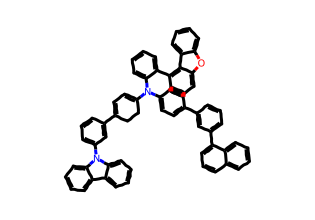 c1cc2oc3ccccc3c2c(-c2ccccc2N(C2=CC=C(c3cccc(-n4c5ccccc5c5ccccc54)c3)CC2)c2ccc(-c3cccc(-c4cccc5ccccc45)c3)cc2)c#1